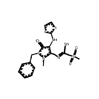 Cn1c(/N=C(\S)S(C)(=O)=O)c(Nc2nccs2)c(=O)n1Cc1ccccc1